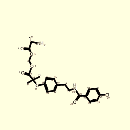 C[C@H](N)C(=O)OCOC(=O)C(C)(C)Oc1ccc(CCNC(=O)c2ccc(Cl)cc2)cc1